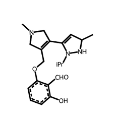 CC1C=C(C2=C(COc3cccc(O)c3C=O)CN(C)C2)N(C(C)C)N1